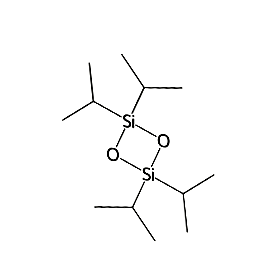 CC(C)[Si]1(C(C)C)O[Si](C(C)C)(C(C)C)O1